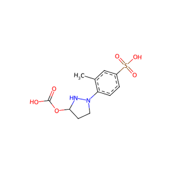 Cc1cc(S(=O)(=O)O)ccc1N1CCC(OC(=O)O)N1